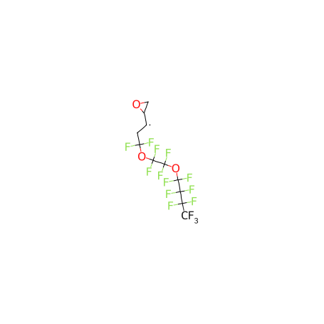 FC(F)(C[CH]C1CO1)OC(F)(F)C(F)(F)OC(F)(F)C(F)(F)C(F)(F)C(F)(F)F